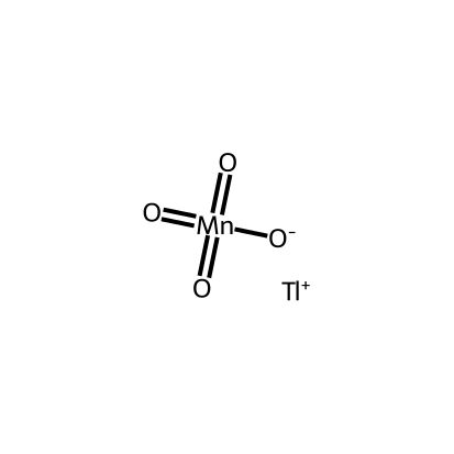 [O]=[Mn](=[O])(=[O])[O-].[Tl+]